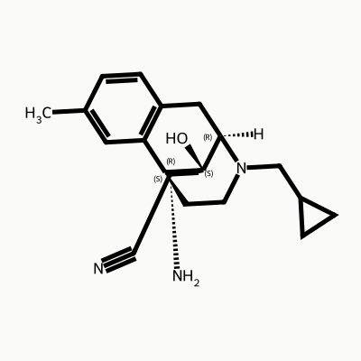 Cc1ccc2c(c1)[C@]13CCN(CC4CC4)[C@H](C2)[C@]1(O)CC[C@@](N)(C#N)C3